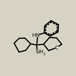 [SiH3]C(Nc1ccccc1)(C1CCCCC1)C1CCCCC1